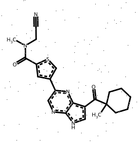 CN(CC#N)C(=O)c1cc(-c2cnc3[nH]cc(C(=O)C4(C)CCCCC4)c3n2)cs1